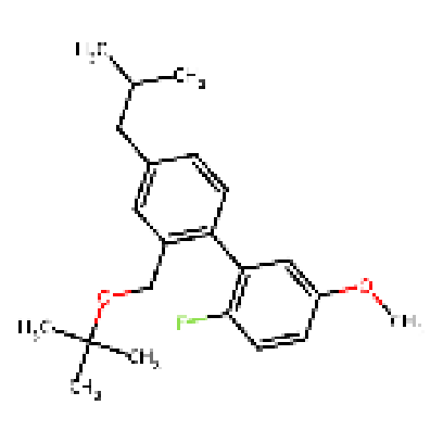 COc1ccc(F)c(-c2ccc(CC(C)C)cc2COC(C)(C)C)c1